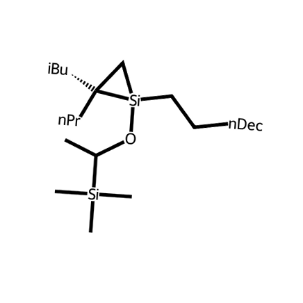 CCCCCCCCCCCC[Si]1(OC(C)[Si](C)(C)C)CC1(CCC)[C@@H](C)CC